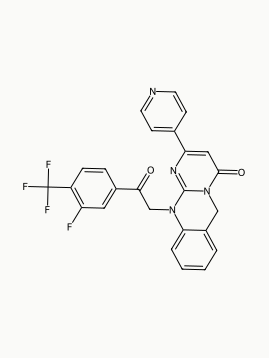 O=C(CN1c2ccccc2Cn2c1nc(-c1ccncc1)cc2=O)c1ccc(C(F)(F)F)c(F)c1